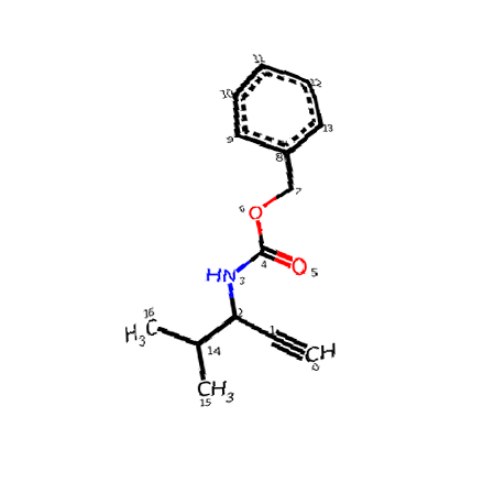 C#CC(NC(=O)OCc1ccccc1)C(C)C